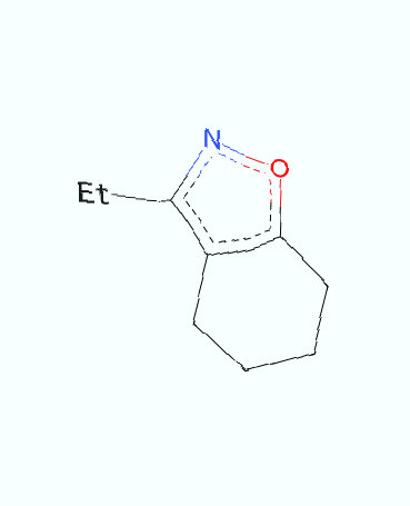 CCc1noc2c1CCCC2